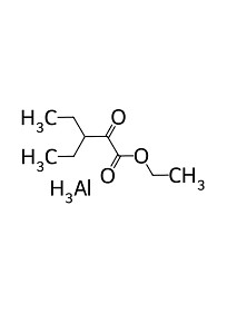 CCOC(=O)C(=O)C(CC)CC.[AlH3]